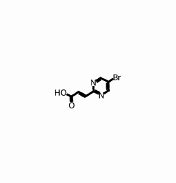 O=C(O)C=Cc1ncc(Br)cn1